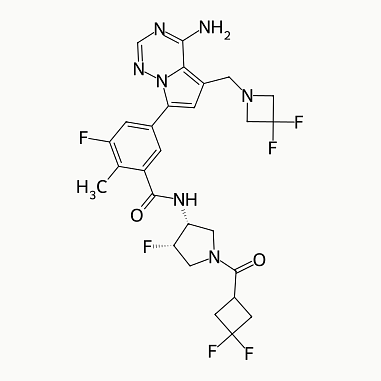 Cc1c(F)cc(-c2cc(CN3CC(F)(F)C3)c3c(N)ncnn23)cc1C(=O)N[C@@H]1CN(C(=O)C2CC(F)(F)C2)C[C@@H]1F